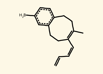 Bc1ccc2c(c1)CCC(/C=C\C=C)=C(/C)CC2